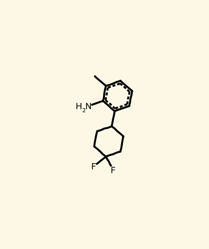 Cc1cccc(C2CCC(F)(F)CC2)c1N